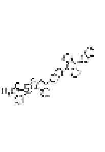 CC1(C)c2ccccc2-c2cc3c(cc21)sc1cc(-c2ccc4cc(-c5c6ccccc6c(-c6ccc7ccccc7c6)c6ccccc56)ccc4c2)c2ccccc2c13